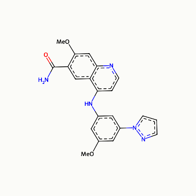 COc1cc(Nc2ccnc3cc(OC)c(C(N)=O)cc23)cc(-n2cccn2)c1